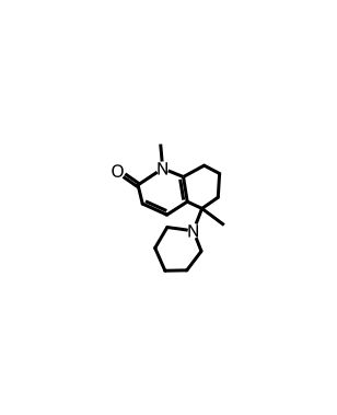 Cn1c2c(ccc1=O)C(C)(N1CCCCC1)CCC2